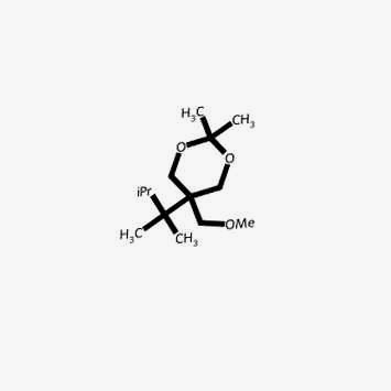 COCC1(C(C)(C)C(C)C)COC(C)(C)OC1